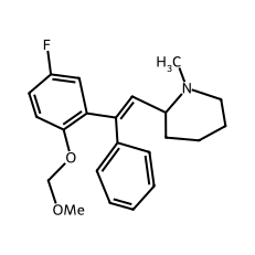 COCOc1ccc(F)cc1C(=CC1CCCCN1C)c1ccccc1